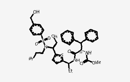 CCC(NC(=O)[C@@H](NC(=O)OC)C(c1ccccc1)c1ccccc1)c1ccc(C(CO)N(CCC(C)C)S(=O)(=O)c2ccc(CO)cc2)s1